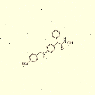 CC(C)(C)c1ccc(CNc2ccc(C(C(=O)NO)c3ccccc3)cc2)cc1